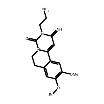 CCOc1cc2c(cc1OC)-c1cc(=N)n(CCN)c(=O)n1CC2